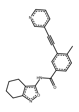 Cc1ccc(C(=O)Nc2onc3c2CCCC3)cc1C#Cc1cccnc1